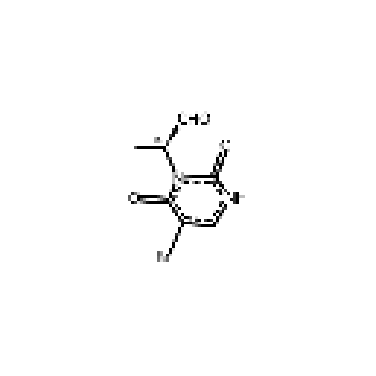 C[C@@H](C=O)n1c(=O)[nH]cc(Br)c1=O